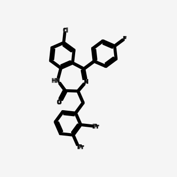 CC(C)c1cccc(CC2N=C(c3ccc(F)cc3)c3cc(Cl)ccc3NC2=O)c1C(C)C